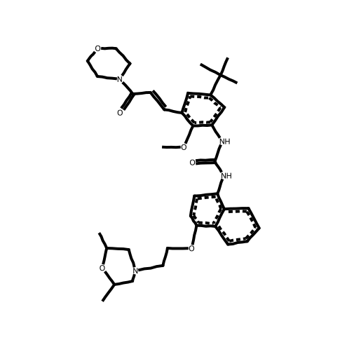 COc1c(C=CC(=O)N2CCOCC2)cc(C(C)(C)C)cc1NC(=O)Nc1ccc(OCCN2CC(C)OC(C)C2)c2ccccc12